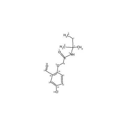 CCC(C)(C)NC(=O)COc1ccc(Cl)cc1C=O